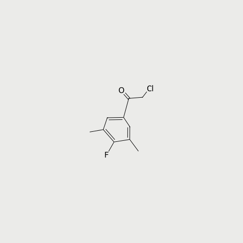 Cc1cc(C(=O)CCl)cc(C)c1F